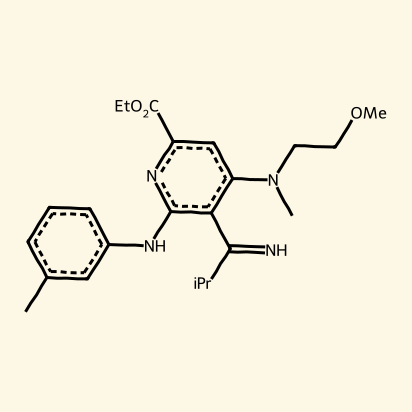 CCOC(=O)c1cc(N(C)CCOC)c(C(=N)C(C)C)c(Nc2cccc(C)c2)n1